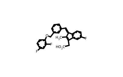 CC1=C(CC(=O)O)c2cc(F)ccc2/C1=C/c1cccc(COc2ccc(F)cc2F)c1